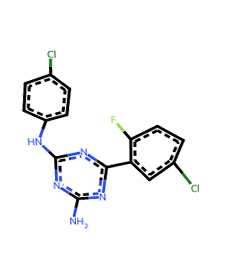 Nc1nc(Nc2ccc(Cl)cc2)nc(-c2cc(Cl)ccc2F)n1